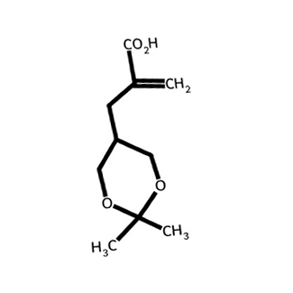 C=C(CC1COC(C)(C)OC1)C(=O)O